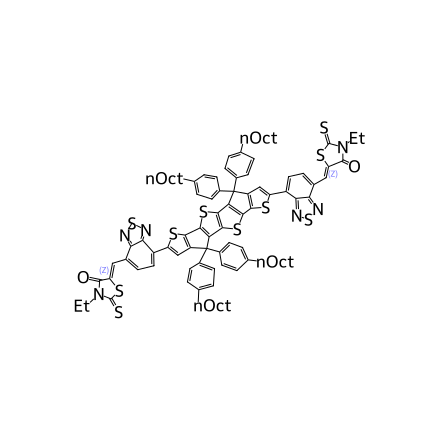 CCCCCCCCc1ccc(C2(c3ccc(CCCCCCCC)cc3)c3cc(-c4ccc(/C=C5\SC(=S)N(CC)C5=O)c5nsnc45)sc3-c3sc4c5c(sc4c32)-c2sc(-c3ccc(/C=C4\SC(=S)N(CC)C4=O)c4nsnc34)cc2C5(c2ccc(CCCCCCCC)cc2)c2ccc(CCCCCCCC)cc2)cc1